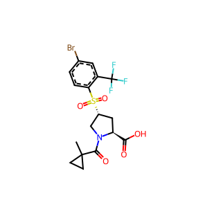 CC1(C(=O)N2C[C@H](S(=O)(=O)c3ccc(Br)cc3C(F)(F)F)C[C@H]2C(=O)O)CC1